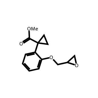 COC(=O)C1(c2ccccc2OCC2CO2)CC1